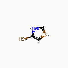 Sc1cscn1